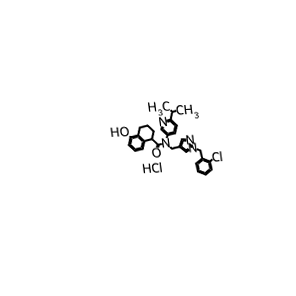 CC(C)c1ccc(N(Cc2cnn(Cc3ccccc3Cl)c2)C(=O)C2CCCc3c(O)cccc32)cn1.Cl